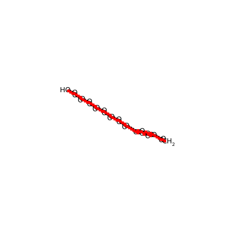 C=CC(=O)OCCCCCCOc1ccc(C(=O)Oc2ccc(OC(=O)c3ccc(OCCCCCCCCOC(=O)CCCCCOC(=O)CCCCCOC(=O)CCCCCOC(=O)CCCCCOC(=O)CCCCCOC(=O)CCCCCOC(=O)CCCCCOC(=O)CCCCCO)cc3)cc2)cc1